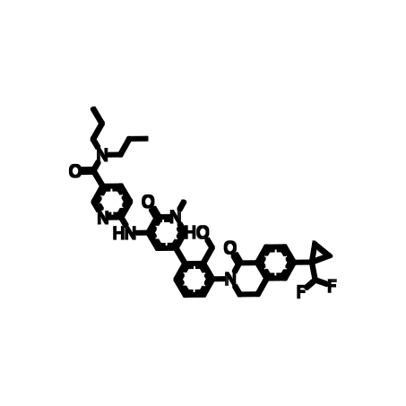 CCCN(CCC)C(=O)c1ccc(Nc2cc(-c3cccc(N4CCc5cc(C6(C(F)F)CC6)ccc5C4=O)c3CO)cn(C)c2=O)nc1